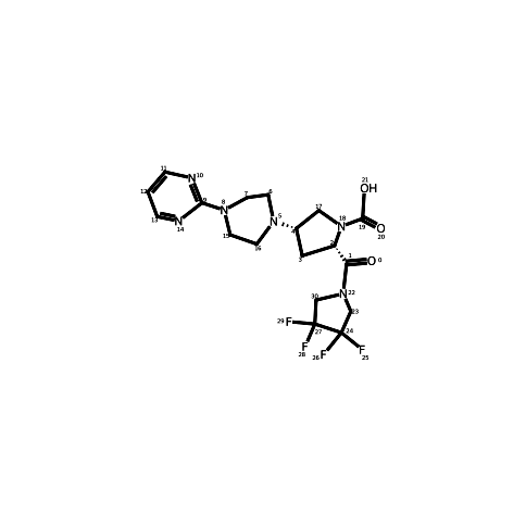 O=C([C@@H]1C[C@H](N2CCN(c3ncccn3)CC2)CN1C(=O)O)N1CC(F)(F)C(F)(F)C1